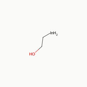 OC[CH2][InH2]